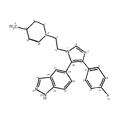 CC1CCN(CCn2cnc(-c3ccc(F)cc3)c2-c2ccc3[nH]ncc3c2)CC1